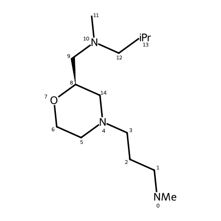 CNCCCN1CCO[C@@H](CN(C)CC(C)C)C1